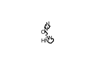 CN1CCN(C(=O)CSC2=NCCCCN2)CC1